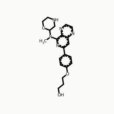 CN(c1nc(-c2ccc(OCCCO)cc2)cc2nccnc12)C1CNCCO1